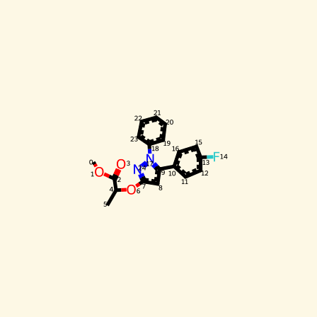 COC(=O)C(C)Oc1cc(-c2ccc(F)cc2)n(-c2ccccc2)n1